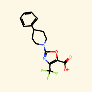 O=C(O)c1oc(N2CCC(c3ccccc3)CC2)nc1C(F)(F)F